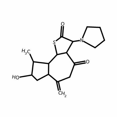 C=C1CC(=O)C2C(SC(=O)C2N2CCCC2)C2C1CC(O)C2C